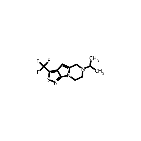 CC(C)N1CCn2c(cc3c(C(F)(F)F)snc32)C1